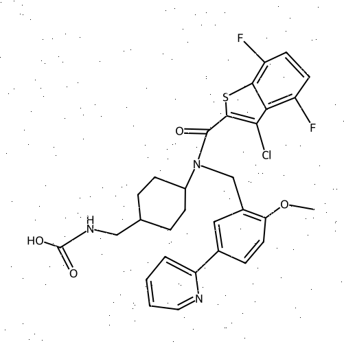 COc1ccc(-c2ccccn2)cc1CN(C(=O)c1sc2c(F)ccc(F)c2c1Cl)C1CCC(CNC(=O)O)CC1